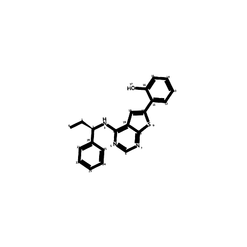 CC[C@@H](Nc1ncnc2sc(-c3ccccc3O)cc12)c1ccccc1